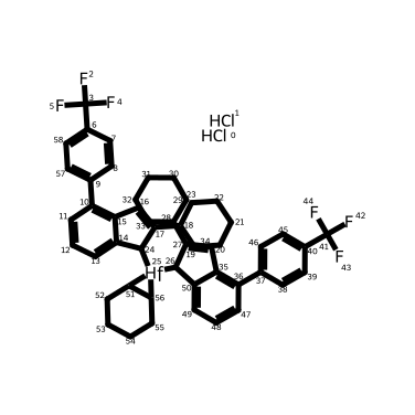 Cl.Cl.FC(F)(F)c1ccc(-c2cccc3c2C=C(C2CCCCC2)[CH]3[Hf]2([CH]3C(C4CCCCC4)=Cc4c(-c5ccc(C(F)(F)F)cc5)cccc43)[CH]3CCCC[CH]32)cc1